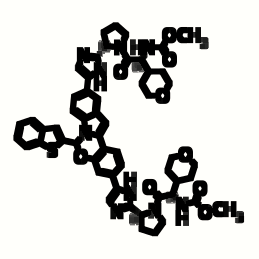 COC(=O)N[C@H](C(=O)N1CCC[C@H]1c1ncc(-c2ccc3c(c2)OC(c2cc4ccccc4s2)n2c-3cc3cc(-c4cnc([C@@H]5CCCN5C(=O)[C@@H](NC(=O)OC)C5CCOCC5)[nH]4)ccc32)[nH]1)C1CCOCC1